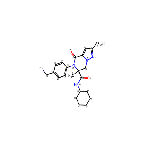 CCOC(=O)c1cc2n(n1)CC(C)(C(=O)NC1CCCCC1)N(c1ccc(CI)cc1)C2=O